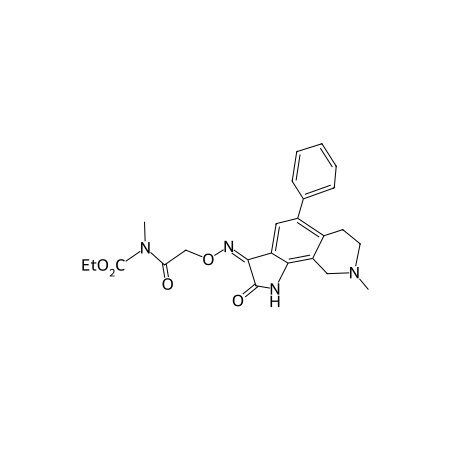 CCOC(=O)N(C)C(=O)CON=C1C(=O)Nc2c1cc(-c1ccccc1)c1c2CN(C)CC1